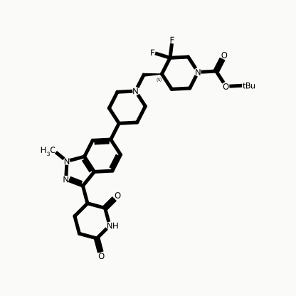 Cn1nc(C2CCC(=O)NC2=O)c2ccc(C3CCN(C[C@@H]4CCN(C(=O)OC(C)(C)C)CC4(F)F)CC3)cc21